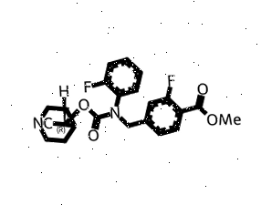 COC(=O)c1ccc(CN(C(=O)O[C@H]2CN3CCC2CC3)c2ccccc2F)cc1F